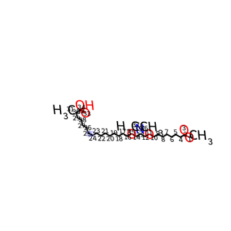 COC(=O)CCCCCCCOCC(COCCCCCCCC/C=C\CCCCC(C)C(=O)O)N(C)C